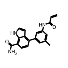 C=CC(=O)Nc1cc(C)cc(-c2ccc(C(N)=O)c3[nH]ccc23)c1